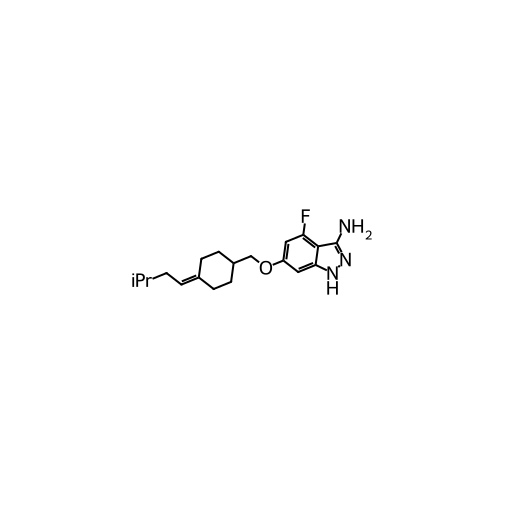 CC(C)CC=C1CCC(COc2cc(F)c3c(N)n[nH]c3c2)CC1